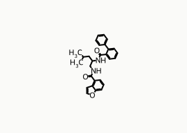 CC(C)CC(CNC(=O)c1cccc2occc12)NC(=O)c1ccccc1-c1ccccc1